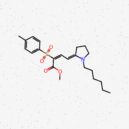 CCCCCCN1CCC/C1=C\C=C(/C(=O)OC)S(=O)(=O)c1ccc(C)cc1